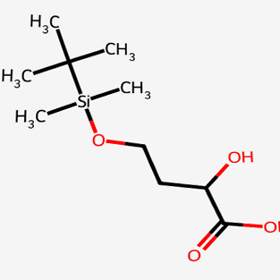 CC(C)(C)[Si](C)(C)OCCC(O)C(=O)O